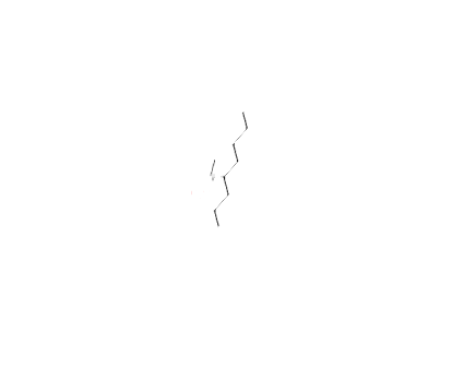 CCCC.CCCCCCCC.O